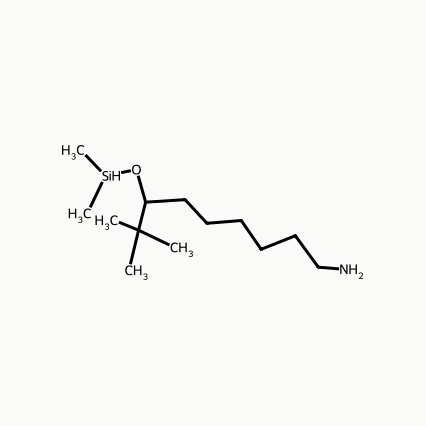 C[SiH](C)OC(CCCCCCN)C(C)(C)C